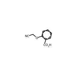 N#CCOc1ccccc1C(=O)O